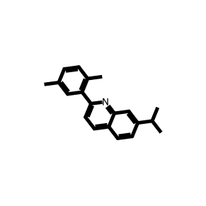 Cc1ccc(C)c(-c2ccc3ccc(C(C)C)cc3n2)c1